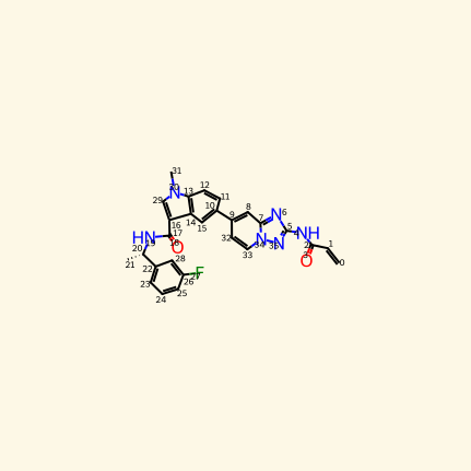 C=CC(=O)Nc1nc2cc(-c3ccc4c(c3)c(C(=O)N[C@@H](C)c3cccc(F)c3)cn4C)ccn2n1